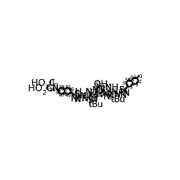 Cc1ccc2cc(-c3nnc(N=Nc4c(C(C)(C)C)nn(-c5nc(O)nc(-n6nc(C(C)(C)C)c(N=Nc7nnc(-c8ccc9cc(N(CC(=O)O)CC(=O)O)ccc9c8)s7)c6N)n5)c4N)s3)ccc2c1